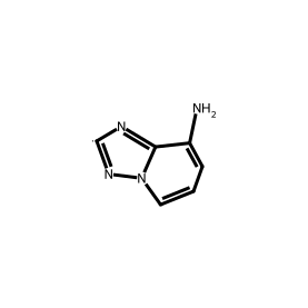 Nc1cccn2n[c]nc12